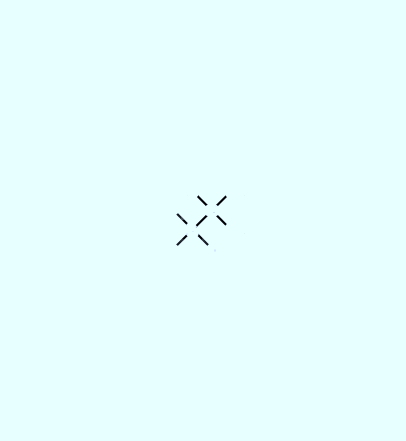 CC[CH2][Sn]([CH2]CC)([CH2]CC)[Si](C)(C)C